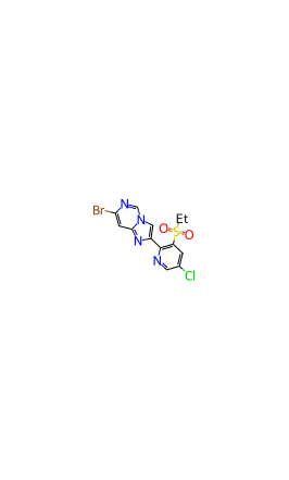 CCS(=O)(=O)c1cc(Cl)cnc1-c1cn2cnc(Br)cc2n1